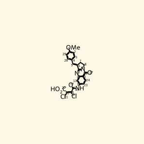 COc1ccc(/C=C2\CCn3c2nc2cc(NC(=O)/C(Cl)=C(/Cl)C(=O)O)ccc2c3=O)cc1